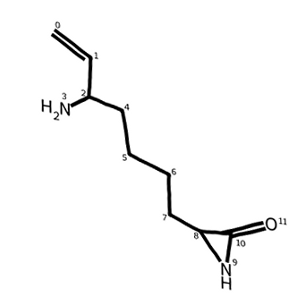 C=CC(N)CCCCC1NC1=O